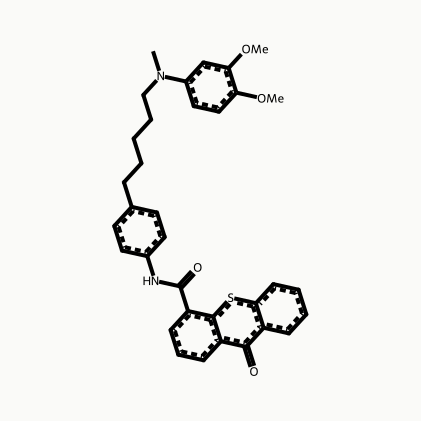 COc1ccc(N(C)CCCCCc2ccc(NC(=O)c3cccc4c(=O)c5ccccc5sc34)cc2)cc1OC